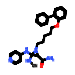 N#CNC1(Nc2ccncc2)C(C(N)=O)N1CCCCCOc1ccccc1-c1ccccc1